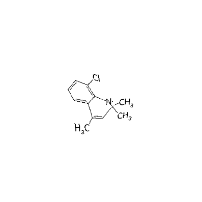 CC1=CC(C)(C)[N]c2c(Cl)cccc21